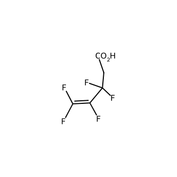 O=C(O)CC(F)(F)C(F)=C(F)F